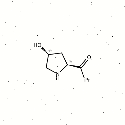 CC(C)C(=O)[C@@H]1C[C@H](O)CN1